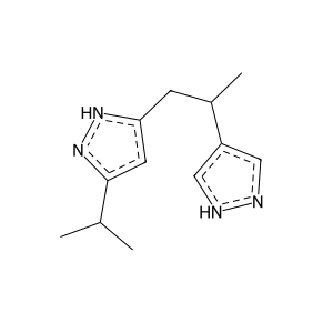 CC(C)c1cc(CC(C)c2cn[nH]c2)[nH]n1